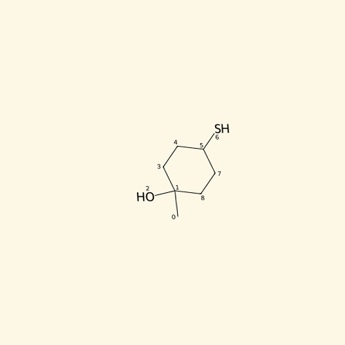 CC1(O)CCC(S)CC1